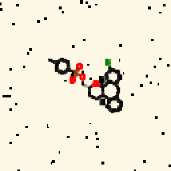 Cc1ccc(S(=O)(=O)OC[C@H]2CC[C@@H]3c4ccccc4Cc4ccc(F)cc4[C@H]3O2)cc1